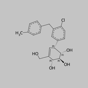 Cc1ccc(Cc2cc([C@H]3C=C(CO)[C@@H](O)[C@H](O)[C@H]3O)ccc2Cl)cc1